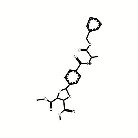 COC(=O)C1SC(c2ccc(C(=O)NC(C)C(=O)OCc3ccccc3)cc2)SC1C(=O)OC